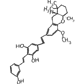 COc1cc(/C=C/c2cc(O)c(/C=C/c3cccc(O)c3)c(O)c2)cc2c1O[C@]1(C)CCCC(C)(C)[C@H]1C2